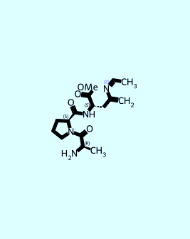 C=C(C[C@H](NC(=O)[C@@H]1CCCN1C(=O)[C@@H](C)N)C(=O)OC)/N=C\C